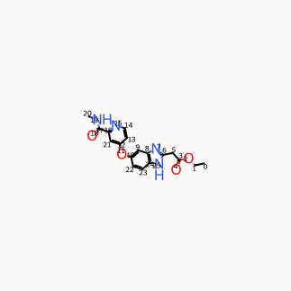 CCOC(=O)Cc1nc2cc(Oc3ccnc(C(=O)NC)c3)ccc2[nH]1